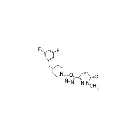 Cn1nc(-c2nnc(N3CCC(Cc4cc(F)cc(F)c4)CC3)o2)ccc1=O